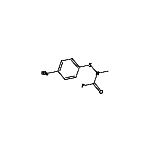 CN(Sc1ccc(C(C)(C)C)cc1)C(=O)F